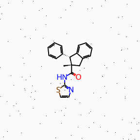 C[C@]1(C(=O)Nc2nccs2)Cc2ccccc2[C@H]1c1ccccc1